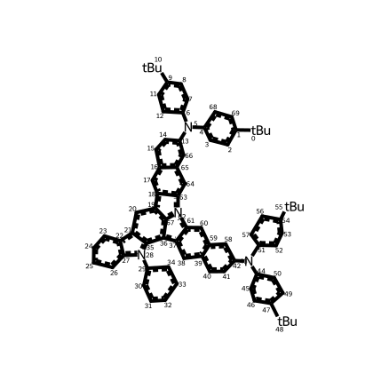 CC(C)(C)c1ccc(N(c2ccc(C(C)(C)C)cc2)c2ccc3cc4c5cc6c7ccccc7n(-c7ccccc7)c6c6c7cc8ccc(N(c9ccc(C(C)(C)C)cc9)c9ccc(C(C)(C)C)cc9)cc8cc7n(c4cc3c2)c56)cc1